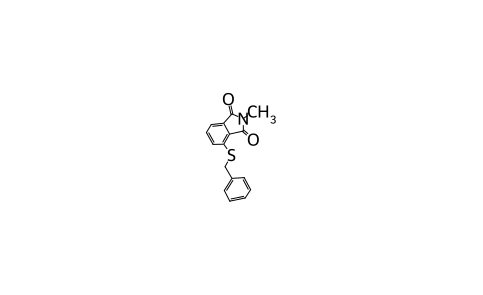 CN1C(=O)c2cccc(SCc3ccccc3)c2C1=O